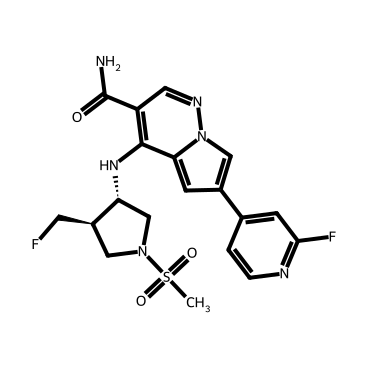 CS(=O)(=O)N1C[C@@H](CF)[C@H](Nc2c(C(N)=O)cnn3cc(-c4ccnc(F)c4)cc23)C1